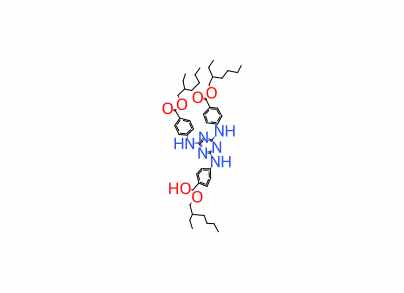 CCCCC(CC)COC(=O)c1ccc(Nc2nc(Nc3ccc(C(=O)OCC(CC)CCCC)cc3)nc(Nc3ccc(C(O)OCC(CC)CCCC)cc3)n2)cc1